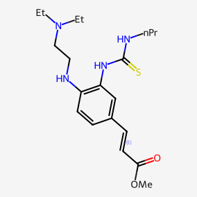 CCCNC(=S)Nc1cc(/C=C/C(=O)OC)ccc1NCCN(CC)CC